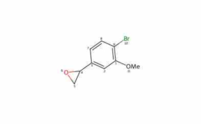 COc1cc(C2CO2)ccc1Br